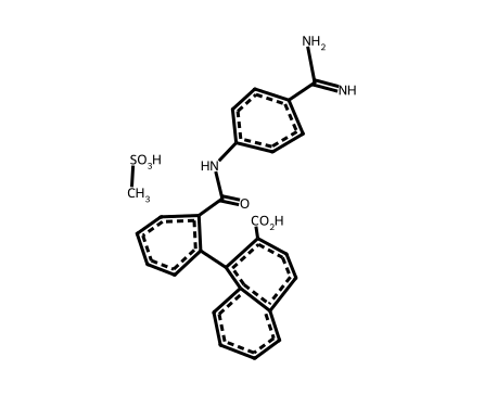 CS(=O)(=O)O.N=C(N)c1ccc(NC(=O)c2ccccc2-c2c(C(=O)O)ccc3ccccc23)cc1